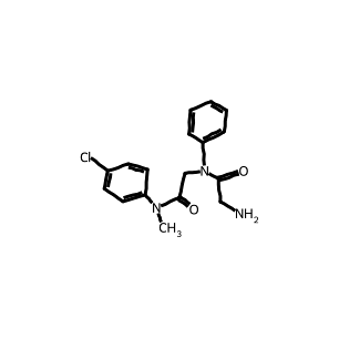 CN(C(=O)CN(C(=O)CN)c1ccccc1)c1ccc(Cl)cc1